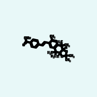 COC(=O)c1ccc(/C=C/c2cc3c(cc2C)C(C)(C)[C@@H]2OC(C)(C)O[C@H]2C3(C)C)cc1